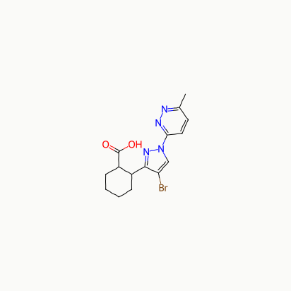 Cc1ccc(-n2cc(Br)c(C3CCCCC3C(=O)O)n2)nn1